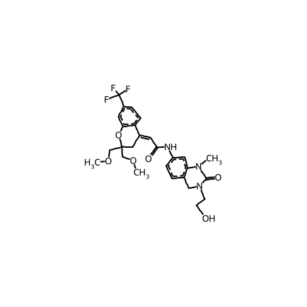 COCC1(COC)C/C(=C\C(=O)Nc2ccc3c(c2)N(C)C(=O)N(CCO)C3)c2ccc(C(F)(F)F)cc2O1